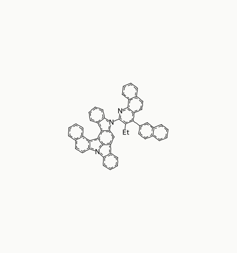 CCc1c(-n2c3ccccc3c3c4c5c6ccccc6ccc5n5c6ccccc6c(cc32)c45)nc2c(ccc3ccccc32)c1-c1ccc2ccccc2c1